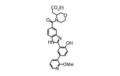 CCOC(=O)CC1COCCN1C(=O)c1ccc2[nH]c(-c3cc(-c4cccnc4OC)ccc3O)nc2c1